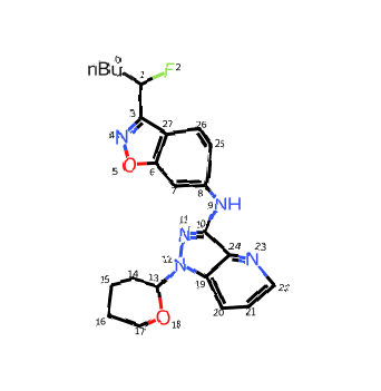 CCCCC(F)c1noc2cc(Nc3nn(C4CCCCO4)c4cccnc34)ccc12